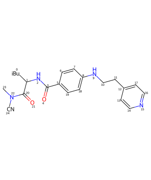 CCC(C)C(NC(=O)c1ccc(NCCc2ccncc2)cc1)C(=O)N(C)C#N